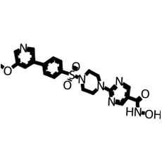 COc1cncc(-c2ccc(S(=O)(=O)N3CCN(c4ncc(C(=O)NO)cn4)CC3)cc2)c1